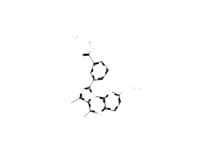 CONC(=O)c1cccc(-c2nc(C)c3c(C)nc4ccc(OC)nc4n23)c1